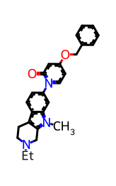 CCN1CCc2c(n(C)c3cc(-n4ccc(OCc5ccccc5)cc4=O)ccc23)C1